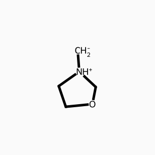 [CH2-][NH+]1CCOC1